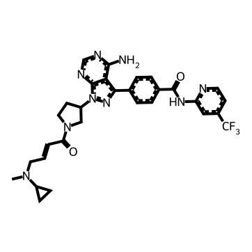 CN(CC=CC(=O)N1CCC(n2nc(-c3ccc(C(=O)Nc4cc(C(F)(F)F)ccn4)cc3)c3c(N)ncnc32)C1)C1CC1